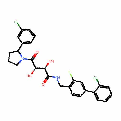 O=C(NCc1ccc(-c2ccccc2Cl)cc1F)[C@H](O)[C@@H](O)C(=O)N1CCCC1c1cccc(Cl)c1